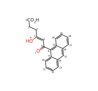 O=C(O)CCC(O)=CC(=O)c1c2ccccc2cc2ccccc12